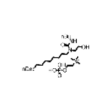 CCCCCCCCCCCCCCCCCCN(CCO)C(=O)NCCCC.C[N+](C)(C)CCOP(=O)(O)O